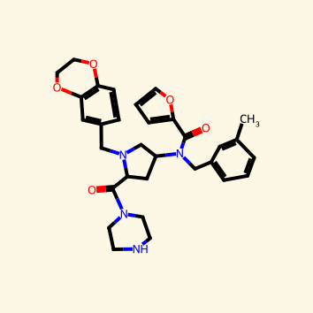 Cc1cccc(CN(C(=O)c2ccco2)C2CC(C(=O)N3CCNCC3)N(Cc3ccc4c(c3)OCCO4)C2)c1